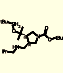 CC(C)CNC[C@@H]1CN(C(=O)OC(C)(C)C)C[C@H]1C(C)(C)O[SiH2]C(C)(C)C